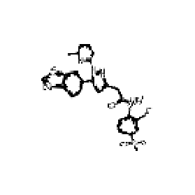 Cc1cccc(-n2nc(CC(=O)Nc3ccc(S(C)(=O)=O)cc3F)cc2-c2ccc3ncsc3c2)n1